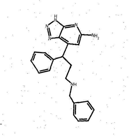 Nc1cc(C(CCNCc2ccccc2)c2ccccc2)c2nn[nH]c2n1